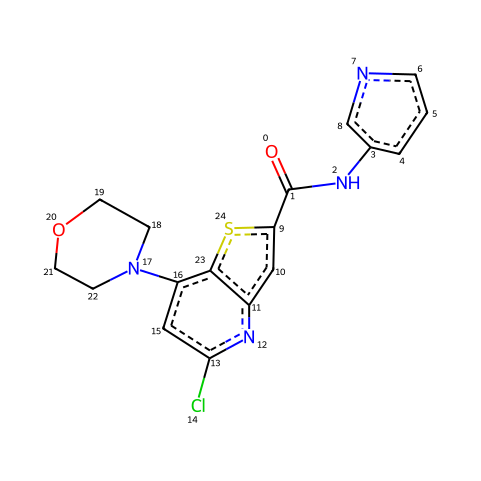 O=C(Nc1cccnc1)c1cc2nc(Cl)cc(N3CCOCC3)c2s1